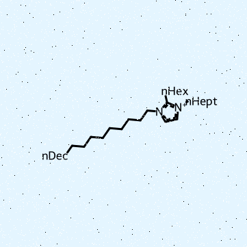 CCCCCCCCCCCCCCCCCCCn1cc[n+](CCCCCCC)c1CCCCCC